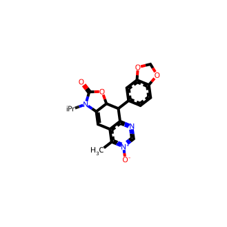 Cc1c2c(nc[n+]1[O-])C(c1ccc3c(c1)OCO3)C1OC(=O)N(C(C)C)C1=C2